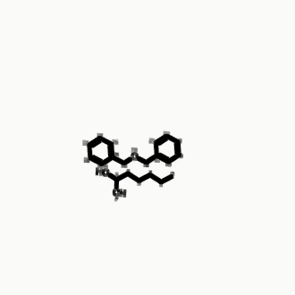 CCCCCC(O)O.c1ccc(COCc2ccccc2)cc1